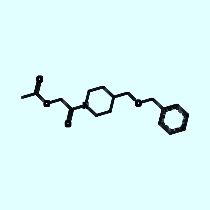 CC(=O)OCC(=O)N1CCC(COCc2ccccc2)CC1